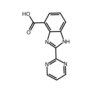 O=C(O)c1cccc2[nH]c(-c3ncccn3)nc12